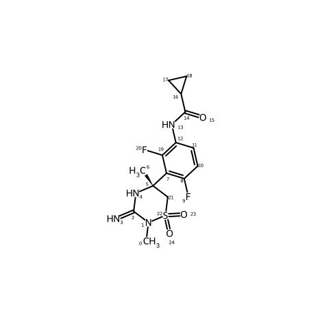 CN1C(=N)N[C@](C)(c2c(F)ccc(NC(=O)C3CC3)c2F)CS1(=O)=O